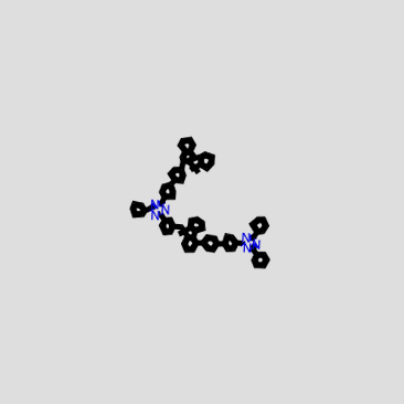 CC1(C)c2ccccc2-c2c1c(-c1ccc(-c3ccc(-c4nc(-c5ccccc5)nc(-c5cccc(CC6(C)c7ccccc7-c7c(-c8ccc(-c9ccc(-c%10nc(-c%11ccccc%11)nc(-c%11ccccc%11)n%10)cc9)cc8)cccc76)c5)n4)cc3)cc1)cc1ccccc21